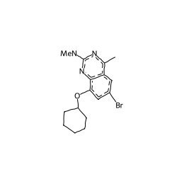 CNc1nc(C)c2cc(Br)cc(OC3CCCCC3)c2n1